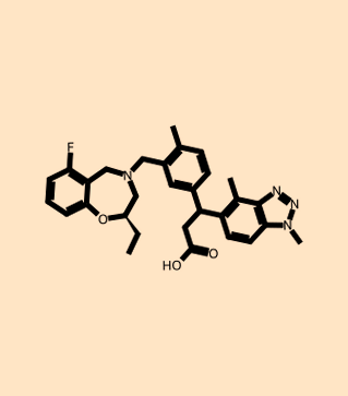 CC[C@@H]1CN(Cc2cc(C(CC(=O)O)c3ccc4c(nnn4C)c3C)ccc2C)Cc2c(F)cccc2O1